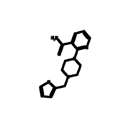 NC(=O)c1c[c]cnc1N1CCN(Cc2ccco2)CC1